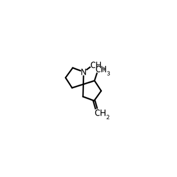 C=C1CC(C)C2(CCCN2C)C1